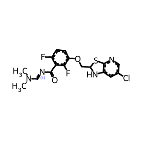 CN(C)/C=N/C(=O)c1c(F)ccc(OCC2Nc3cc(Cl)cnc3S2)c1F